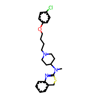 CN(C1=Nc2ccccc2CS1)C1CCN(CCCCOc2ccc(Cl)cc2)CC1